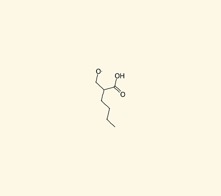 CCCCC(C[O])C(=O)O